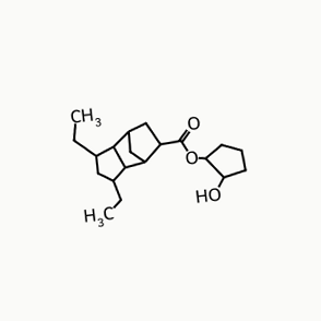 CCC1CC(CC)C2C3CC(CC3C(=O)OC3CCCC3O)C12